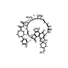 COc1c(C)c2c3c4c1C(=O)C(=C1NC5(CCN(CC(C)C)CC5)N=C14)NC(=O)/C(C)=C\C=C\[C@H](C)[C@H](OC)[C@@H](C)[C@@H](OC)[C@@H](C)[C@H](OC(=O)CC(=O)N1CCCN(c4ccc(F)cc4)CC1)[C@H](C)C/C=C/O[C@@](C)(O2)C3=O